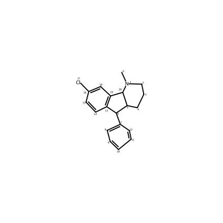 CN1CCCC2C(c3ccccc3)c3ccc(Cl)cc3C21